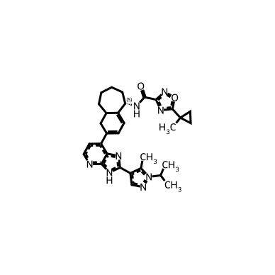 Cc1c(-c2nc3c(C4=CC=C5C(CCCC[C@@H]5NC(=O)c5noc(C6(C)CC6)n5)C4)ccnc3[nH]2)cnn1C(C)C